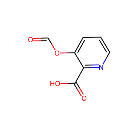 O=COc1cccnc1C(=O)O